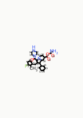 Cc1c(F)cccc1Cc1c(-c2ccccc2)c2cc(C(=O)OC(N)=O)ccn2c1C(=O)N1CCNCC1